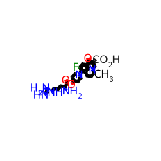 CC1CCc2c(N3CCC(OC(=O)C(N)CCCNC(=N)N)CC3)c(F)cc3c(=O)c(C(=O)O)cn1c23